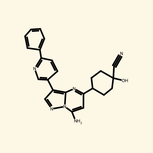 N#CC1(O)CCC(c2cc(N)n3ncc(-c4ccc(-c5ccccc5)nc4)c3n2)CC1